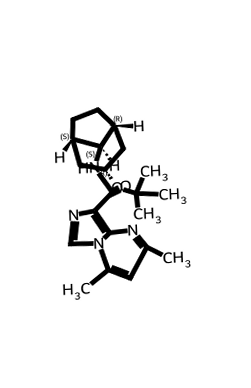 Cc1cc(C)n2cnc(C(=O)N[C@@H]3[C@@H]4CC[C@H]3C[C@@H](OC(C)(C)C)C4)c2n1